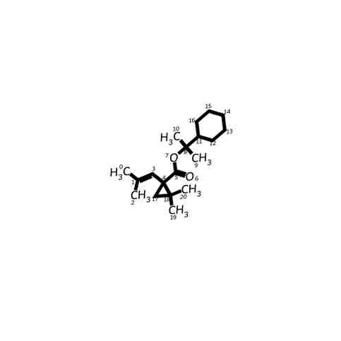 CC(C)=CC1(C(=O)OC(C)(C)C2CCCCC2)CC1(C)C